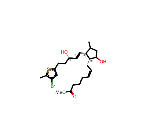 COC(=O)CCC/C=C\C[C@H]1C(O)CC(C)[C@@H]1/C=C/[C@@H](O)CCc1cc(Br)c(C)s1